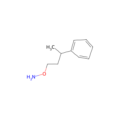 CC(CCON)c1ccccc1